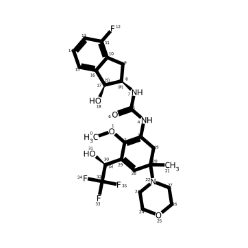 COC1=C(NC(=O)N[C@@H]2Cc3c(F)cccc3[C@@H]2O)CC(C)(N2CCOCC2)C=C1[C@H](O)C(F)(F)F